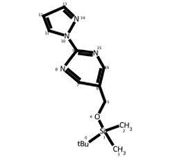 CC(C)(C)[Si](C)(C)OCc1cnc(-n2cccn2)nc1